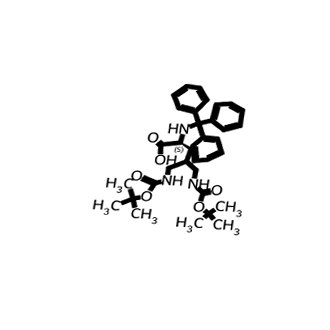 CC(C)(C)OC(=O)NCC(CNC(=O)OC(C)(C)C)C[C@H](NC(c1ccccc1)(c1ccccc1)c1ccccc1)C(=O)O